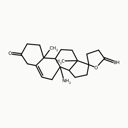 B=C1CCC2(CCC3C4(N)CC=C5CC(=O)CCC5(C)C4CCC32C)O1